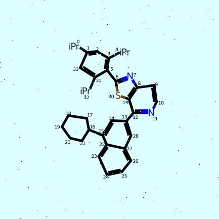 CC(C)c1cc(C(C)C)c(-c2nc3ccnc(-c4cc(C5CCCCC5)c5ccccc5c4)c3s2)c(C(C)C)c1